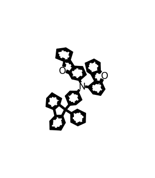 c1ccc(C2(c3ccc(N(c4ccc5c(c4)oc4ccccc45)c4cccc5oc6ccccc6c45)cc3)c3ccccc3-c3ccccc32)cc1